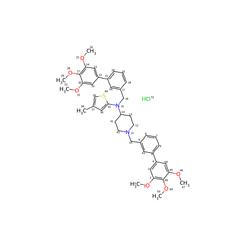 COc1cc(-c2cccc(CN3CCC(N(Cc4cccc(-c5cc(OC)c(OC)c(OC)c5)c4)c4cc(C)cs4)CC3)c2)cc(OC)c1OC.Cl